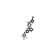 C[C@@H]1CN(Cc2ccc(-c3cccnc3C(=O)N3CCC(Nc4cccc(C#N)c4)CC3)cc2)C[C@H](C)N1